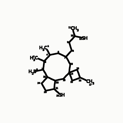 BC1C(C)C(C)CC(CCC(C)S)CC2(CC(C)C2)CC2C(S)CCC12